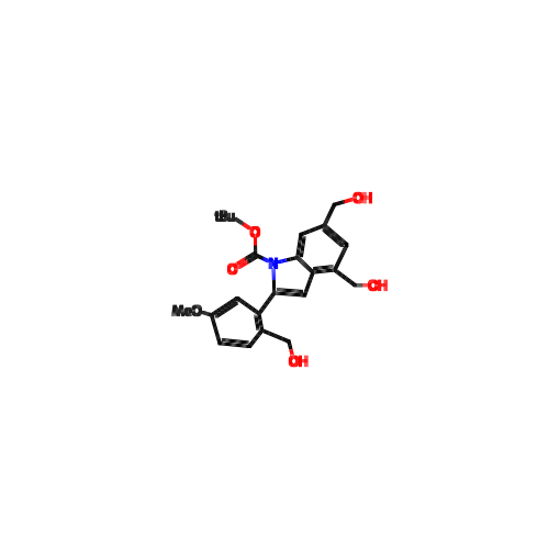 COc1ccc(CO)c(-c2cc3c(CO)cc(CO)cc3n2C(=O)OC(C)(C)C)c1